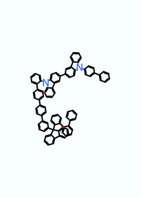 c1ccc(-c2ccc(-n3c4ccccc4c4cc(-c5ccc6c(c5)c5ccccc5n6-c5ccccc5-c5ccc(-c6ccc(-c7cccc(C8(c9ccccc9-c9ccccc9-c9ccccc9)c9ccccc9-c9ccccc98)c7)cc6)cc5)ccc43)cc2)cc1